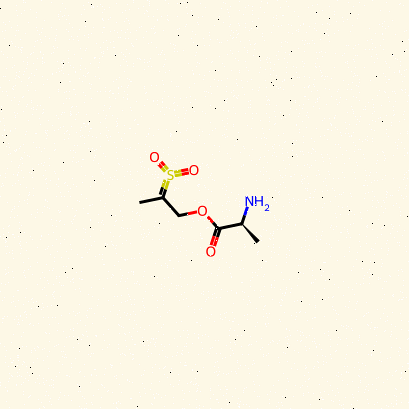 CC(COC(=O)[C@H](C)N)=S(=O)=O